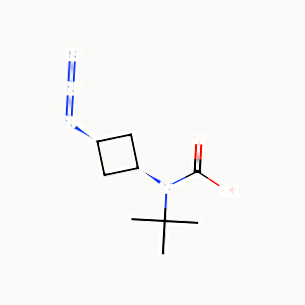 CC(C)(C)N(C(=O)O)[C@H]1C[C@@H](N=[N+]=[N-])C1